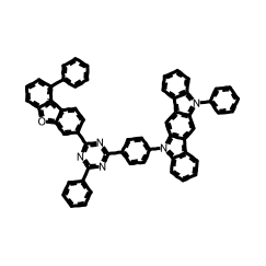 c1ccc(-c2nc(-c3ccc(-n4c5ccccc5c5cc6c(cc54)c4ccccc4n6-c4ccccc4)cc3)nc(-c3ccc4c(c3)oc3cccc(-c5ccccc5)c34)n2)cc1